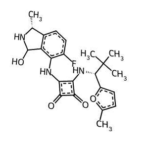 Cc1ccc([C@H](Nc2c(Nc3c(F)ccc4c3C(O)N[C@@H]4C)c(=O)c2=O)C(C)(C)C)o1